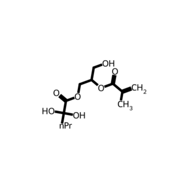 C=C(C)C(=O)OC(CO)COC(=O)C(O)(O)CCC